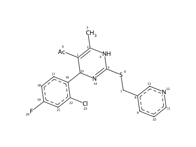 CC(=O)C1=C(C)NC(SCc2cccnc2)=NC1c1ccc(F)cc1Cl